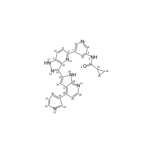 O=C(Nc1cncc(-c2ccc3[nH]nc(-c4cc5c(-c6cccnc6)ccnc5[nH]4)c3n2)c1)C1CC1